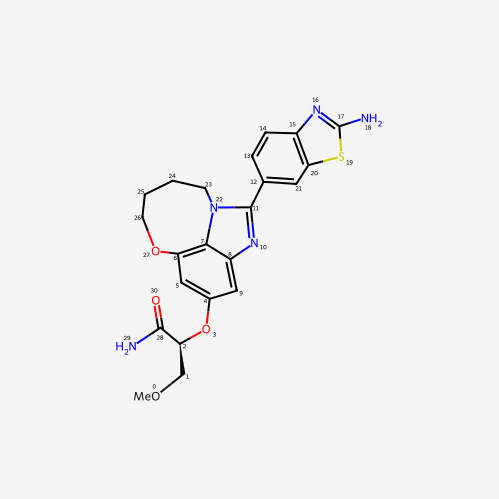 COC[C@H](Oc1cc2c3c(c1)nc(-c1ccc4nc(N)sc4c1)n3CCCCO2)C(N)=O